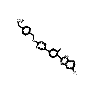 O=C(O)Cc1ccc(COc2ncc(-c3ccc(-c4nc5cc(C(F)(F)F)ccc5[nH]4)c(F)c3)cn2)cc1